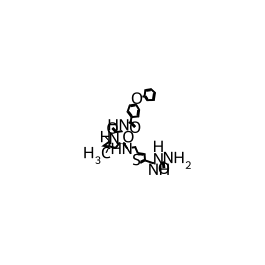 C[C@@]12C[C@@H]1N(C(=O)CNC(=O)c1ccc(Oc3ccccc3)cc1)[C@H](C(=O)NCc1cc(C(=N)NC(N)=O)cs1)C2